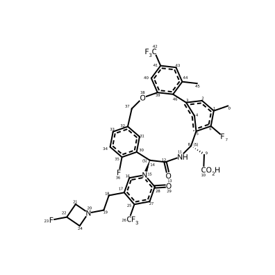 Cc1cc2cc(c1F)[C@H](CC(=O)O)NC(=O)[C@@H](n1cc(CCN3CC(F)C3)c(C(F)(F)F)cc1=O)c1cc(ccc1F)COc1cc(C(F)(F)F)cc(C)c1-2